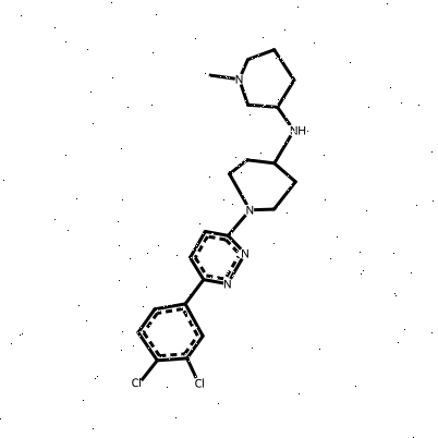 CN1CCCC(NC2CCN(c3ccc(-c4ccc(Cl)c(Cl)c4)nn3)CC2)C1